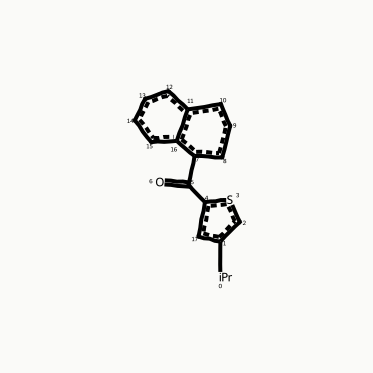 CC(C)c1csc(C(=O)c2cccc3ccccc23)c1